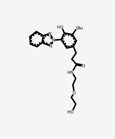 CC(C)(C)c1cc(CCC(=O)NCCOCCO)cc(-n2nc3ccccc3n2)c1O